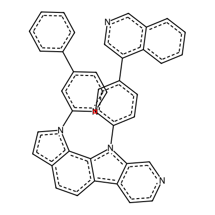 c1ccc(-c2ccnc(-n3ccc4ccc5c6ccncc6n(-c6ccc(-c7cncc8ccccc78)cc6)c5c43)c2)cc1